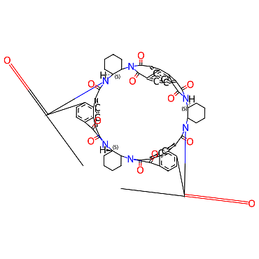 O=C1c2ccc3c4c5ccc(c24)C(=O)N1C1CCCC[C@@H]1N1C(=O)c2ccc4c6c(ccc(c26)C1=O)C(=O)N(C4=O)C1CCCC[C@@H]1N1C(=O)c2ccc4c6c(ccc(c26)C1=O)C(=O)N(C4=O)[C@H]1CCCCC1N(C3=O)C5=O